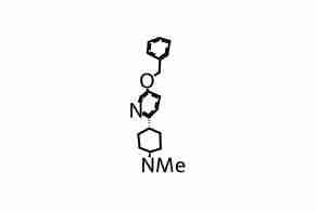 CN[C@H]1CC[C@H](c2ccc(OCc3ccccc3)cn2)CC1